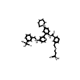 O=C(O)CCSCc1cccc(C(=O)Nc2ccc(N3CCCCC3)cc2-c2cc(NCc3cccc(C(F)(F)F)c3)ccn2)c1